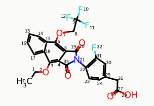 CCOc1c2c(c(OCC(F)(F)F)c3ccccc13)C(=O)N(c1ccc(CC(=O)O)cc1F)C2=O